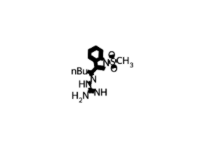 CCCC/C(=N\NC(=N)N)c1cn(S(C)(=O)=O)c2ccccc12